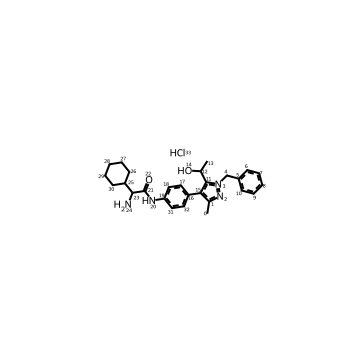 Cc1nn(Cc2ccccc2)c(C(C)O)c1-c1ccc(NC(=O)C(N)C2CCCCC2)cc1.Cl